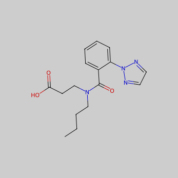 CCCCN(CCC(=O)O)C(=O)c1ccccc1-n1nccn1